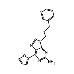 Nc1nc(-c2ccco2)c2ncn(CCCc3cccnc3)c2n1